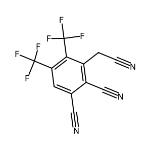 N#CCc1c(C#N)c(C#N)cc(C(F)(F)F)c1C(F)(F)F